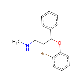 CNCCC(Oc1ccccc1Br)c1ccccc1